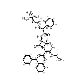 CCOC1=C(C(=O)OC(c2ccccc2)c2ccccc2)N2C(=O)[C@@H](NC(=O)C(NC(=O)OC(C)(C)C)c3ccccc3)[C@@H]2SC1